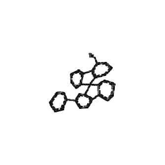 Brc1cccc2c1-c1ccccc1C21c2ccccc2-c2ccc(-c3ccccc3)cc21